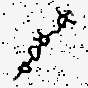 CCCc1ccc(C2CC=C(c3ccc(CCc4cc(F)c(C(F)(F)F)c(F)c4)c(F)c3F)CC2)cc1